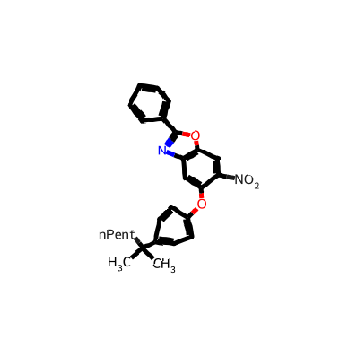 CCCCCC(C)(C)c1ccc(Oc2cc3nc(-c4ccccc4)oc3cc2[N+](=O)[O-])cc1